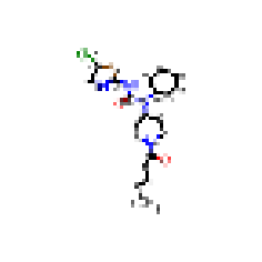 CCCCC(=O)N1CCC(N(C(=O)NC2=NCC(Cl)S2)C2CCCCC2)CC1